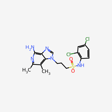 Cc1nc(N)c2ncn(CCCS(=O)(=O)Nc3ccc(Cl)cc3Cl)c2c1C